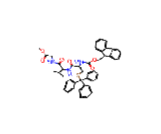 COC(=O)CNC(=O)C(NC(=O)C(CSC(c1ccccc1)(c1ccccc1)c1ccccc1)NC(=O)OCC1c2ccccc2-c2ccccc21)C(C)C